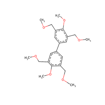 COCc1cc(-c2cc(COC)c(OC)c(COC)c2)cc(COC)c1OC